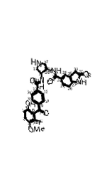 COc1ccc(O)c(C(=O)c2ccc(C(=O)NC3CNC[C@H]3NC(=O)c3ccc4c(c3)CC(=O)N4)cc2)c1F